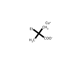 CCC(C)(C)C(=O)[O-].[Cu+]